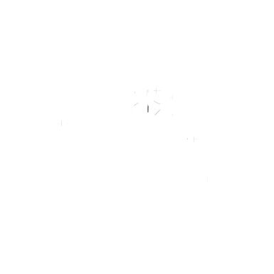 CCCCCCCCCCc1c(CCCCCCCCCC)c(C(=O)O)c(O)c(O)c1OCCCC